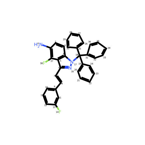 Nc1ccc2c(c(/C=C/c3cccc(F)c3)nn2C(c2ccccc2)(c2ccccc2)c2ccccc2)c1F